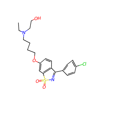 CCN(CCO)CCCCOc1ccc2c(c1)S(=O)(=O)N=C2c1ccc(Cl)cc1